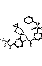 CS(=O)(=O)Nc1ccc2c(c1)C1(CCC3(CC3)CC1)CN2C(=O)c1cccc(S(=O)(=O)NC2C=CCCC2)c1